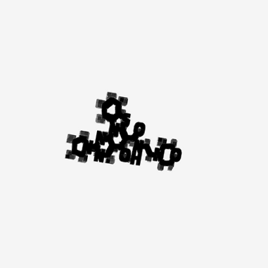 O=C(NCCN1CCOCC1)c1c(=O)c2cnc(N3CCCC3)nc2n2c1sc1ccccc12